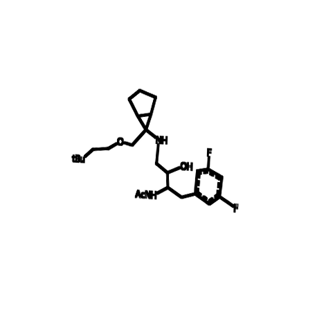 CC(=O)NC(Cc1cc(F)cc(F)c1)C(O)CNC1(COCCC(C)(C)C)C2CCCC21